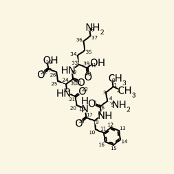 CC(C)C[C@H](N)C(=O)N[C@@H](Cc1ccccc1)C(=O)NCC(=O)N[C@@H](CCC(=O)O)C(=O)N[C@@H](CCCCN)C(=O)O